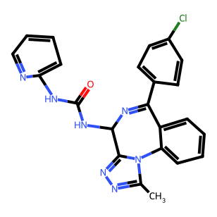 Cc1nnc2n1-c1ccccc1C(c1ccc(Cl)cc1)=NC2NC(=O)Nc1ccccn1